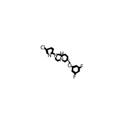 Fc1cc(F)cc(OC[C@@H]2CC[C@H]3CN(c4ccc(Cl)cn4)CCN3C2)c1